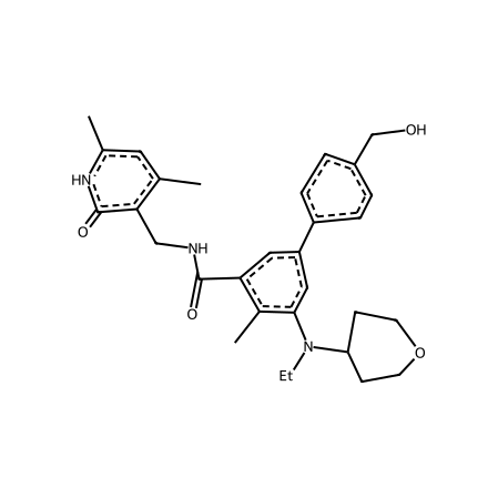 CCN(c1cc(-c2ccc(CO)cc2)cc(C(=O)NCc2c(C)cc(C)[nH]c2=O)c1C)C1CCOCC1